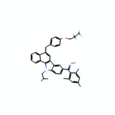 CCCCC(CC)Cn1c2ccc(C(=NO)c3c(C)cc(C)cc3C)cc2c2cc(Cc3ccc(OCC(F)(F)C(F)F)cc3)c3ccccc3c21